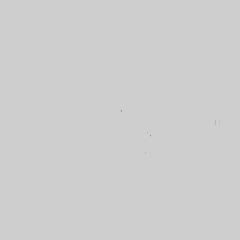 CCCC[C@H]1CN(c2ccc(F)cc2)c2cc(SCC)c(O/C=C(\F)C(=O)O)cc2S(=O)(=O)N1